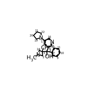 CN1CC(C)(C(O)(c2ccccc2)c2cncc(N3CCCC3)c2)C1